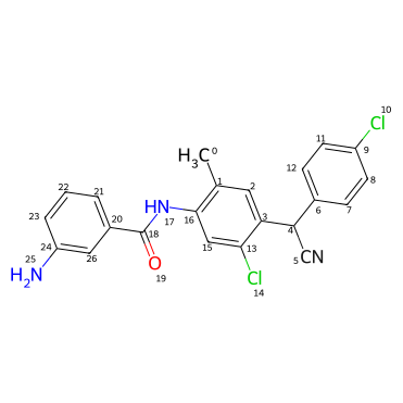 Cc1cc(C(C#N)c2ccc(Cl)cc2)c(Cl)cc1NC(=O)c1cccc(N)c1